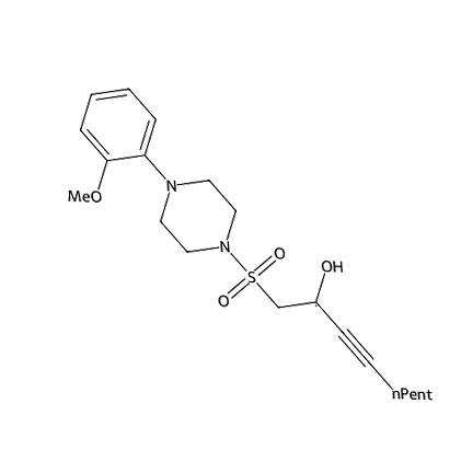 CCCCCC#C[C](O)CS(=O)(=O)N1CCN(c2ccccc2OC)CC1